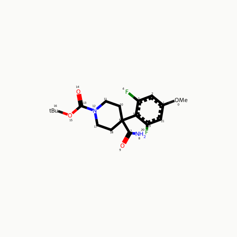 COc1cc(F)c(C2(C(N)=O)CCN(C(=O)OC(C)(C)C)CC2)c(F)c1